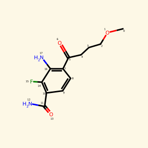 COCCCC(=O)c1ccc(C(N)=O)c(F)c1N